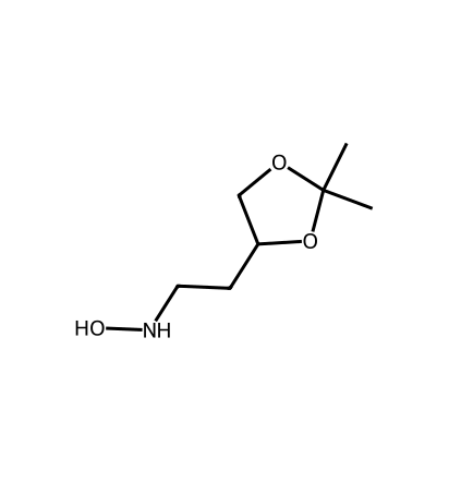 CC1(C)OCC(CCNO)O1